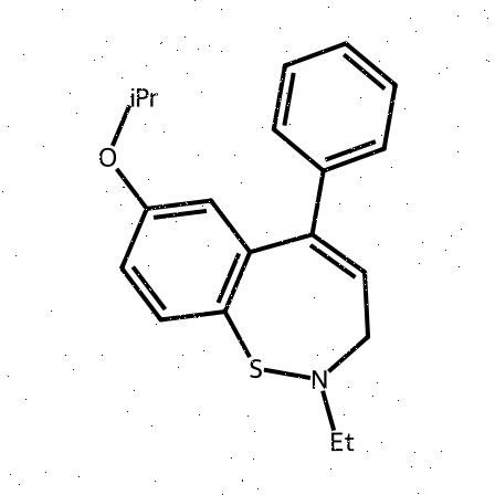 CCN1CC=C(c2ccccc2)c2cc(OC(C)C)ccc2S1